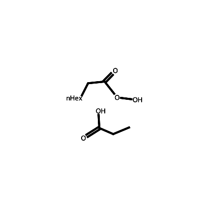 CCC(=O)O.CCCCCCCC(=O)OO